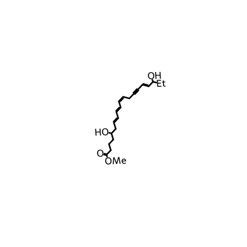 CCC(O)/C=C/C#CC\C=C/C=C/C=C/CC(O)CCCC(=O)OC